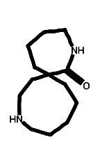 O=C1NCCCCC12CCCCCNCC2